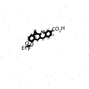 CCC1(F)Oc2cccc(CC3Cc4ccc(C(=O)O)cc4N=C3C3CC3)c2O1